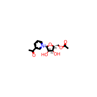 CC(=O)OC[C@H]1O[C@@H]([n+]2cccc(C(C)=O)c2)[C@H](O)[C@@H]1O